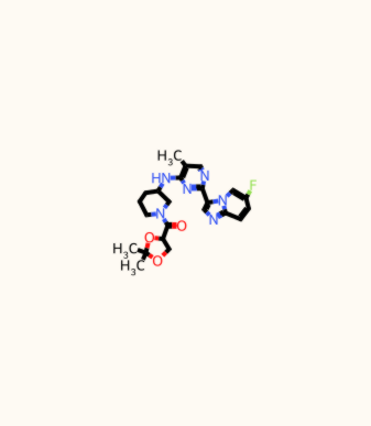 Cc1cnc(-c2cnc3ccc(F)cn23)nc1NC1CCCN(C(=O)C2COC(C)(C)O2)C1